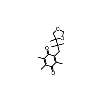 CC1=C(C)C(=O)C(CC(C)(C)C2(C)COCO2)=C(C)C1=O